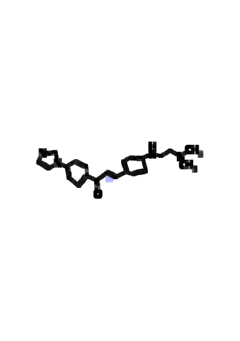 CN(C)CCNc1ccc(/C=C/C(=O)c2ccc(-n3ccnc3)cc2)cc1